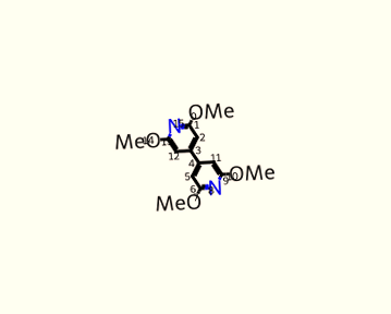 COc1cc(-c2cc(OC)nc(OC)c2)cc(OC)n1